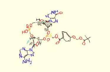 CC(C)(C)C(=O)OCOc1ccc(C(=O)OCSP2(=O)OC[C@H]3O[C@@H](n4cnc5c(N)ncnc54)[C@H](F)[C@@H]3OCP(=O)(O)OC[C@H]3O[C@@H](n4cnc5c(=O)[nH]cnc54)[C@H](O2)[C@@H]3F)cc1